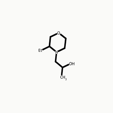 CCC1COCCN1CC(C)O